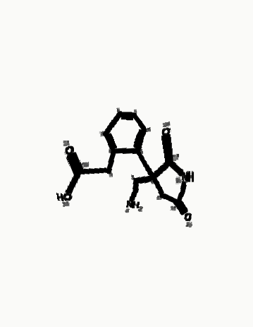 NCC1(c2ccccc2CC(=O)O)CC(=O)NC1=O